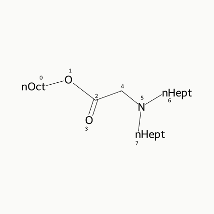 CCCCCCCCOC(=O)CN(CCCCCCC)CCCCCCC